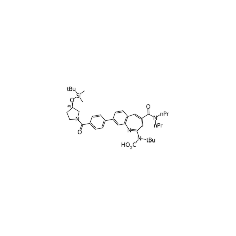 CCCN(CCC)C(=O)C1=Cc2ccc(-c3ccc(C(=O)N4CC[C@@H](O[Si](C)(C)C(C)(C)C)C4)cc3)cc2N=C(N(C(=O)O)C(C)(C)C)C1